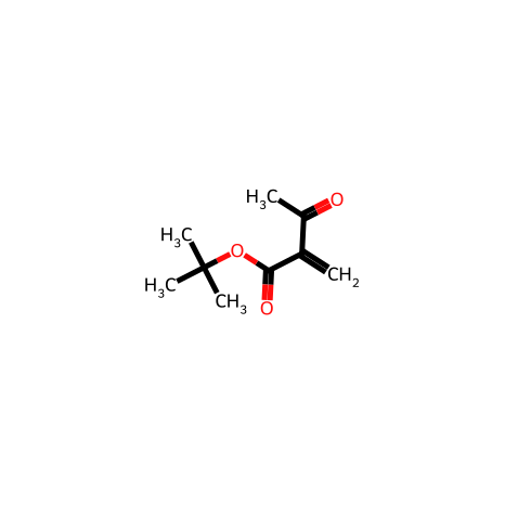 C=C(C(C)=O)C(=O)OC(C)(C)C